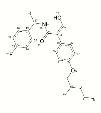 CCCC(C)COc1ccc(C(=CO)C(=O)NC(C)c2ccc(F)cc2)cc1